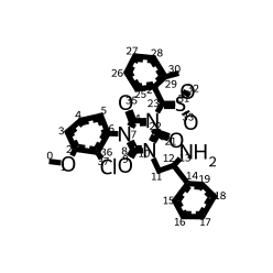 COc1cccc(-n2c(=O)n(CC(N)c3ccccc3)c(=O)n(C(c3ccccc3C)=S(=O)=O)c2=O)c1Cl